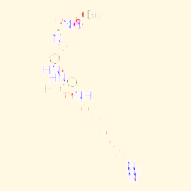 Cc1c(NC(=O)Nc2ccc(CC(=O)N3CC[C@H](C(=O)NCC(=O)OC(C)(C)C)C3)cc2)cccc1C(=O)NCCOCCOCCOCCOCCOCCN=[N+]=[N-]